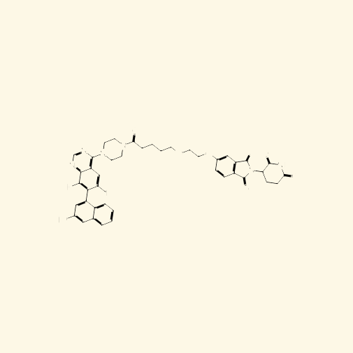 O=C1CCC(N2C(=O)c3ccc(OCCOCCCCC(=O)N4CCN(c5ncnc6c(F)c(-c7cc(O)cc8ccccc78)c(I)cc56)CC4)cc3C2=O)C(=O)N1